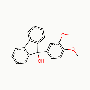 COc1ccc(C2(O)c3ccccc3-c3ccccc32)cc1OC